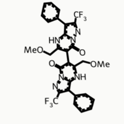 COCc1[nH]c2c(-c3ccccc3)c(C(F)(F)F)nn2c(=O)c1-c1c(COC)[nH]c2c(-c3ccccc3)c(C(F)(F)F)nn2c1=O